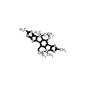 COc1c2c(c(CO)c3c1[Si](C)(C)c1c-3sc3nc(C)sc13)[Si](C)(C)c1nc(C)sc1-2